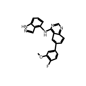 COc1cc(-c2ccc3ncnc(Nc4cccc5[nH]ncc45)c3c2)ccc1F